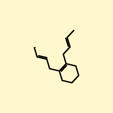 [CH2]C=CCC1=C(CC=CC)CCCC1